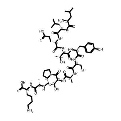 CC(C)C[C@H](NC(=O)[C@@H](N)CC(C)C)C(=O)N[C@@H](CCC(=O)O)C(=O)N[C@H](C(=O)N[C@@H](Cc1ccc(O)cc1)C(=O)N[C@@H](CS)C(=O)N[C@@H](C)C(=O)N[C@H](C(=O)N1CCC[C@H]1C(=O)N[C@@H](C)C(=O)N[C@@H](CCCCN)C(=O)O)[C@@H](C)O)[C@@H](C)O